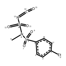 CCc1ccc(S(=O)(=O)N(C)S(=O)(=O)N=C=O)cc1